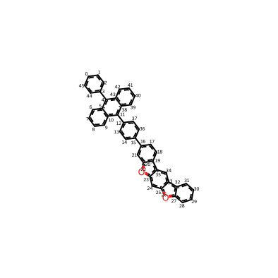 c1ccc(-c2c3ccccc3c(-c3ccc(-c4ccc5c(c4)oc4cc6oc7ccccc7c6cc45)cc3)c3ccccc23)cc1